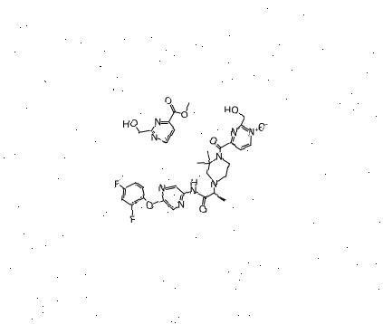 COC(=O)c1ccnc(CO)n1.C[C@@H](C(=O)Nc1cnc(Oc2ccc(F)cc2F)cn1)N1CCN(C(=O)c2cc[n+]([O-])c(CO)n2)C(C)(C)C1